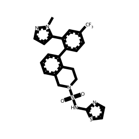 Cn1nccc1-c1cc(C(F)(F)F)ccc1-c1cccc2c1CCN(S(=O)(=O)Nc1nccs1)C2